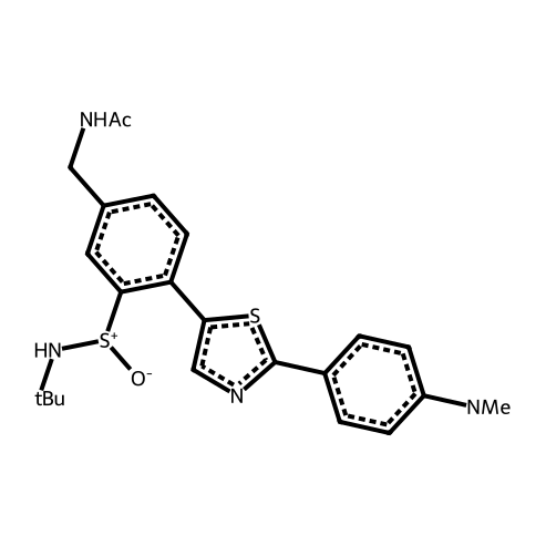 CNc1ccc(-c2ncc(-c3ccc(CNC(C)=O)cc3[S+]([O-])NC(C)(C)C)s2)cc1